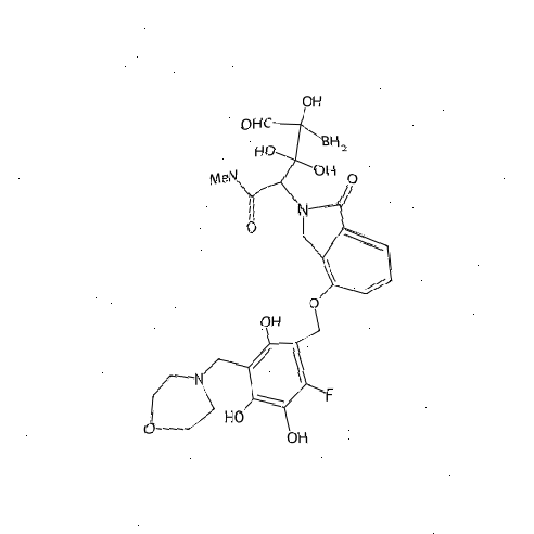 BC(O)(C=O)C(O)(O)C(C(=O)NC)N1Cc2c(OCc3c(O)c(CN4CCOCC4)c(O)c(O)c3F)cccc2C1=O